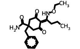 CCCC(NOCC)=C1C(=O)CC(Cc2ccccc2)(C(N)=O)CC1=O